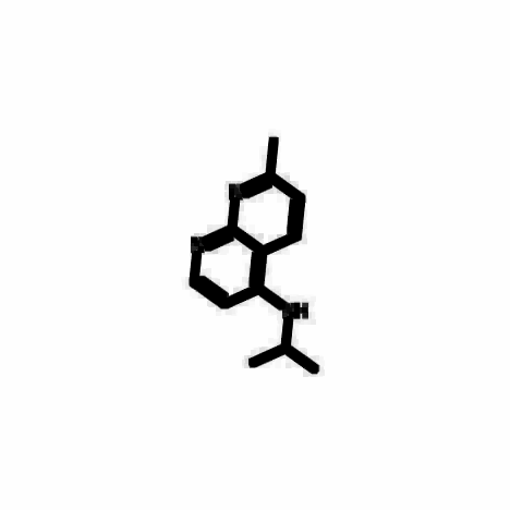 Cc1ccc2c(NC(C)C)ccnc2n1